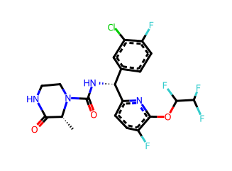 C[C@@H]1C(=O)NCCN1C(=O)N[C@H](c1ccc(F)c(Cl)c1)c1ccc(F)c(OC(F)C(F)F)n1